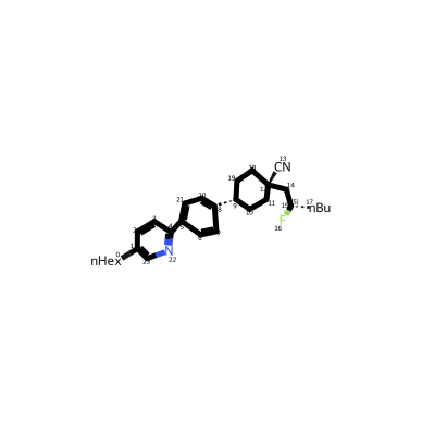 CCCCCCc1ccc(-c2ccc([C@H]3CC[C@@](C#N)(C[C@@H](F)CCCC)CC3)cc2)nc1